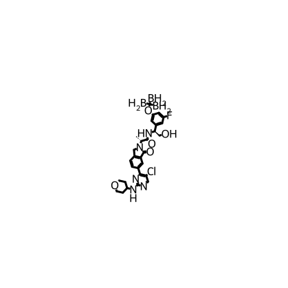 BC(B)(B)Oc1cc(F)cc([C@@H](CO)NC(=O)[C@@H](C)N2Cc3ccc(-c4nc(NC5CCOCC5)ncc4Cl)cc3C2=O)c1